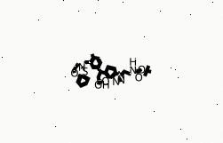 Cc1ccc(C(CC(=O)O)c2ccc3c(c2)nnn3CCNC(=O)OC(C)(C)C)cc1CN1CCOc2ccccc2S1